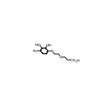 CCCc1c(OCCOCCC(=O)O)ccc(C(C)=O)c1O